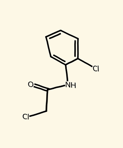 O=C(CCl)Nc1ccccc1Cl